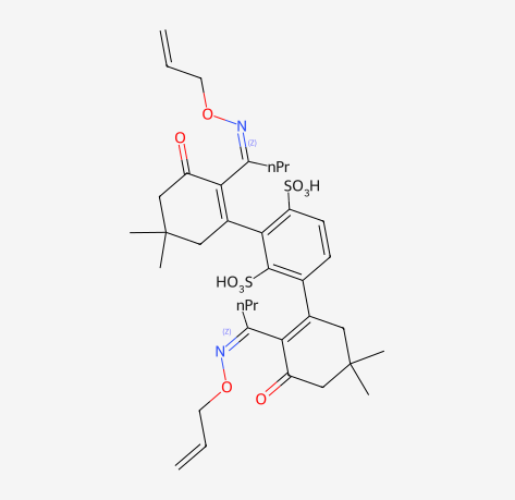 C=CCO/N=C(/CCC)C1=C(c2ccc(S(=O)(=O)O)c(C3=C(/C(CCC)=N\OCC=C)C(=O)CC(C)(C)C3)c2S(=O)(=O)O)CC(C)(C)CC1=O